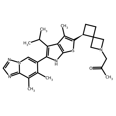 CC(=O)CN1CC2(CC[C@@H]2c2sc3[nH]c(-c4cn5ncnc5c(C)c4C)c(C(C)C)c3c2C)C1